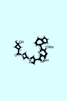 COc1cc2[nH]nc(-c3cnn(C4CN(C(=O)C5CC(C)(O)C5)C4)c3)c2nc1-c1cccc2c1CCC2